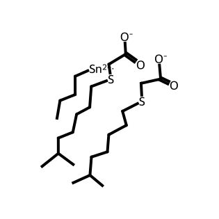 CC(C)CCCCCSCC(=O)[O-].CC(C)CCCCCSCC(=O)[O-].CCC[CH2][Sn+2]